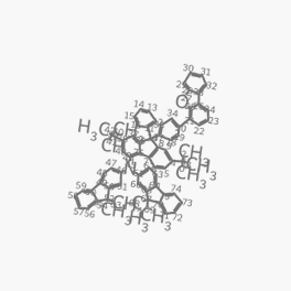 CC(C)(C)c1ccc2c(c1)C(c1ccccc1)(c1ccc(-c3cccc4c3oc3ccccc34)cc1)c1cc(C(C)(C)C)cc(N(c3ccc4c(c3)C(C)(C)c3ccccc3-4)c3ccc4c(c3)C(C)(C)c3ccccc3-4)c1-2